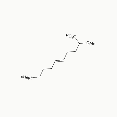 CCCCCCCCCC/C=C/CCC(OC)C(=O)O